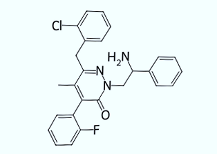 Cc1c(Cc2ccccc2Cl)nn(CC(N)c2ccccc2)c(=O)c1-c1ccccc1F